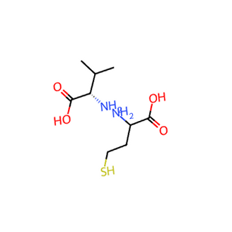 CC(C)[C@H](N)C(=O)O.NC(CCS)C(=O)O